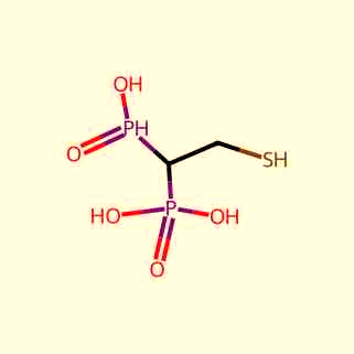 O=[PH](O)C(CS)P(=O)(O)O